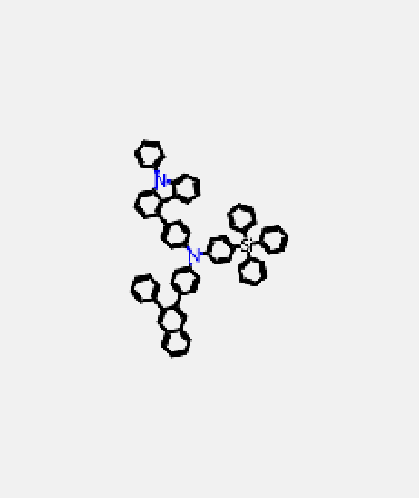 c1ccc(-c2cc3ccccc3cc2-c2ccc(N(c3ccc(-c4cccc5c4c4ccccc4n5-c4ccccc4)cc3)c3ccc([Si](c4ccccc4)(c4ccccc4)c4ccccc4)cc3)cc2)cc1